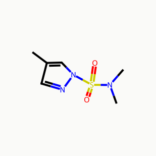 Cc1cnn(S(=O)(=O)N(C)C)c1